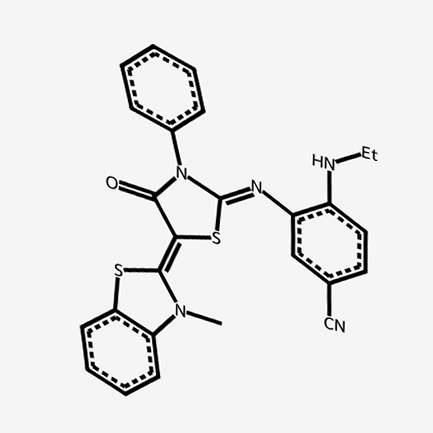 CCNc1ccc(C#N)cc1N=C1SC(=C2Sc3ccccc3N2C)C(=O)N1c1ccccc1